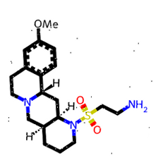 COc1ccc2c(c1)CCN1C[C@@H]3CCCN(S(=O)(=O)CCN)[C@@H]3C[C@@H]21